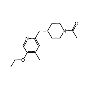 CCOc1cnc(CC2CCN(C(C)=O)CC2)cc1C